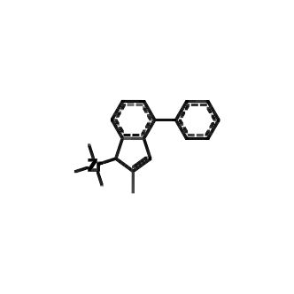 CC1=Cc2c(-c3ccccc3)cccc2[CH]1[Zr]([CH3])([CH3])[CH3]